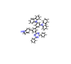 c1ccc(-c2nc(-c3ccccc3)nc(-c3cc(-c4cc(-n5c6ccccc6c6ccccc65)cc(-n5c6ccccc6c6ccccc65)c4)cc(-c4ccc5[nH]ccc5c4)c3)n2)cc1